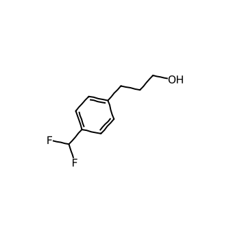 OCCCc1ccc(C(F)F)cc1